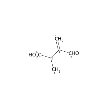 C=C(C=O)C(C)C(=O)O